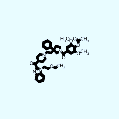 CCOCCn1c(C(=O)C2CCN(CCC3(c4ccccc4)CCN(C(=O)c4cc(OC)c(OC(C)=O)c(OC)c4)C3)CC2)nc2ccccc21